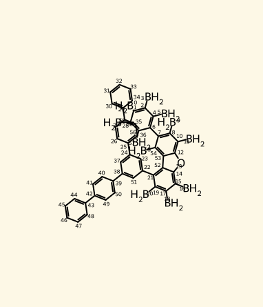 Bc1c(B)c(B)c(-c2c(B)c(B)c3oc4c(B)c(B)c(B)c(-c5cc(-c6ccc(-c7ccccc7)cc6)cc(-c6ccc(-c7ccccc7)cc6)c5)c4c3c2B)c(B)c1B